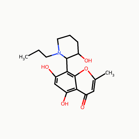 CCCN1CCCC(O)C1c1c(O)cc(O)c2c(=O)cc(C)oc12